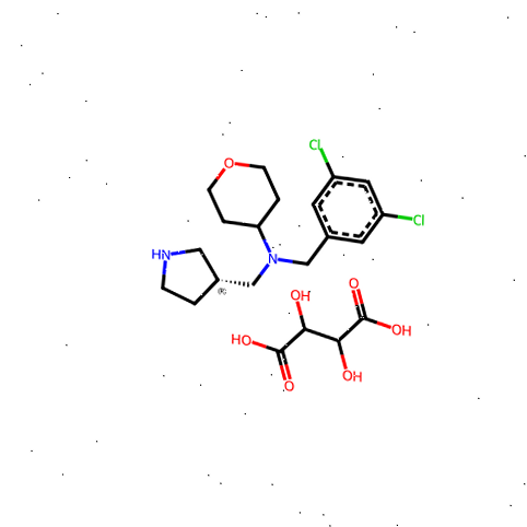 Clc1cc(Cl)cc(CN(C[C@@H]2CCNC2)C2CCOCC2)c1.O=C(O)C(O)C(O)C(=O)O